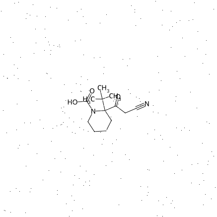 CC(C)(C)C1(C(=O)CC#N)CCCCN1C(=O)O